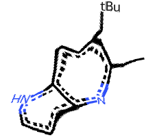 Cc1nc2cc[nH]c2cc1C(C)(C)C